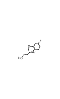 OCC[C@H]1COc2cc(F)ccc2N1